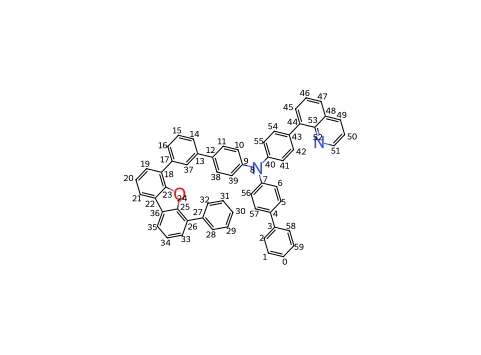 c1ccc(-c2ccc(N(c3ccc(-c4cccc(-c5cccc6c5oc5c(-c7ccccc7)cccc56)c4)cc3)c3ccc(-c4cccc5cccnc45)cc3)cc2)cc1